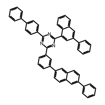 c1ccc(-c2ccc(-c3nc(-c4cccc(-c5ccc6cc(-c7ccccc7)ccc6c5)c4)nc(-c4cc(-c5ccccc5)cc5ccccc45)n3)cc2)cc1